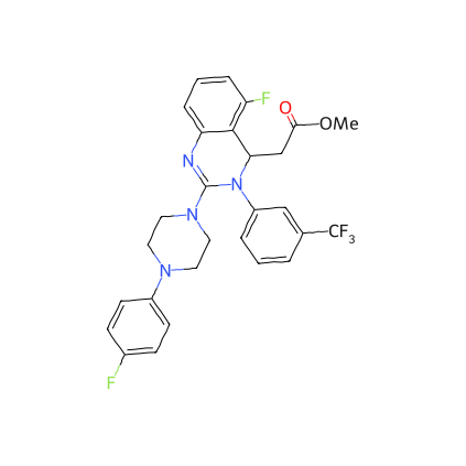 COC(=O)CC1c2c(F)cccc2N=C(N2CCN(c3ccc(F)cc3)CC2)N1c1cccc(C(F)(F)F)c1